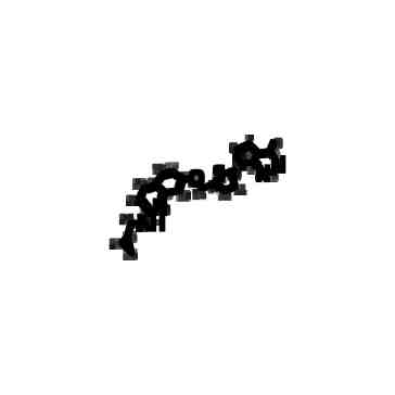 Cc1ncnc2c1ccn2[C@H]1CC[C@@H](COc2ccc3ccc(NCC4CC4)nc3c2)S1